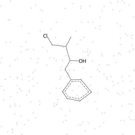 CC(CCl)C(O)Cc1ccccc1